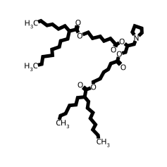 CCCCCCCCC(CCCCCC)C(=O)OCCCCCC(=O)OCC(CN1CCCC1)OC(=O)CCCCCOC(=O)C(CCCCCC)CCCCCCCC